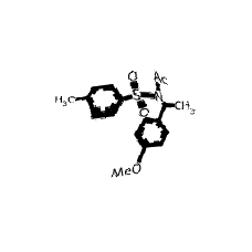 COc1ccc(C(C)N(C(C)=O)S(=O)(=O)c2ccc(C)cc2)cc1